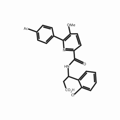 COc1ccc(C(=O)NC(CC(=O)O)c2ccccc2Cl)nc1-c1ccc(C(C)=O)cc1